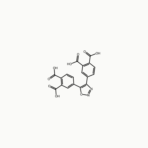 O=C(O)c1ccc(-c2nnoc2-c2ccc(C(=O)O)c(C(=O)O)c2)cc1C(=O)O